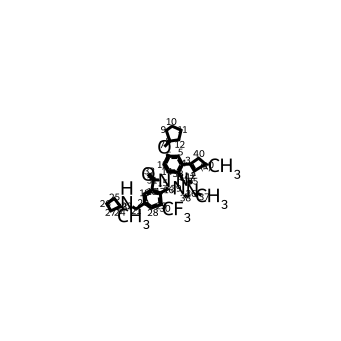 C[C@H]1C=C(c2cc(OC3CCCC3)cc(N3Cc4c(cc(CNC5(C)CCC5)cc4C(F)(F)F)C3=O)c2-[n+]2cn(C)cn2)C1